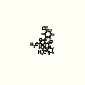 Cc1nc(C(=O)N2CCSC2(C)N)c(-c2cccc(Cl)c2)o1